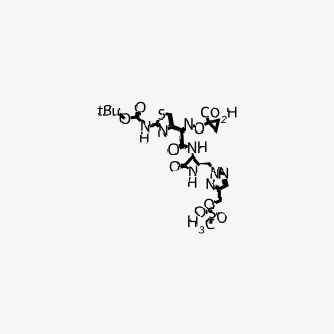 CC(C)(C)OC(=O)Nc1nc(/C(=N/OC2(C(=O)O)CC2)C(=O)N[C@@H]2C(=O)N[C@@H]2Cn2ncc(COS(C)(=O)=O)n2)cs1